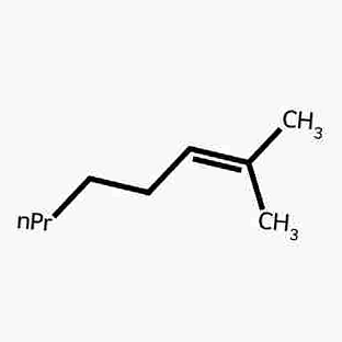 CCCCCC=C(C)C